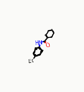 CCc1ccc(NC(=O)C2CCCCC2)cc1